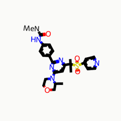 CNC(=O)Nc1ccc(-c2nc(N3CCOCC3C)cc(C(C)(C)S(=O)(=O)c3ccncc3)n2)cc1